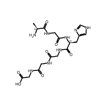 C[C@H](N)C(=O)NCC(=O)N[C@@H](Cc1c[nH]cn1)C(=O)NCC(=O)NCC(=O)NCC(=O)O